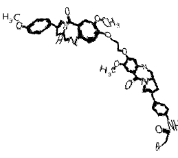 COc1ccc(C2=CN3C(=O)c4cc(OC)c(OCCCOc5cc6c(cc5OC)C(=O)N5C=C(c7ccc(NC(=O)CBr)cc7)CC5C=N6)cc4N=C[C@@H]3C2)cc1